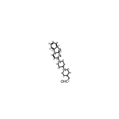 O=CCC1CCN(C2CCN(c3ccn4c(n3)nc3ccccc34)CC2)CC1